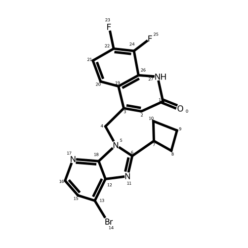 O=c1cc(Cn2c(C3CCC3)nc3c(Br)ccnc32)c2ccc(F)c(F)c2[nH]1